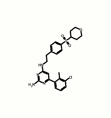 Cc1c(Cl)cccc1-c1cc(NCCc2ccc(S(=O)(=O)C3CCOCC3)cc2)nc(N)n1